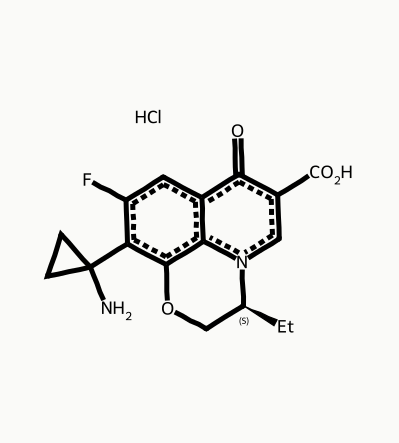 CC[C@H]1COc2c(C3(N)CC3)c(F)cc3c(=O)c(C(=O)O)cn1c23.Cl